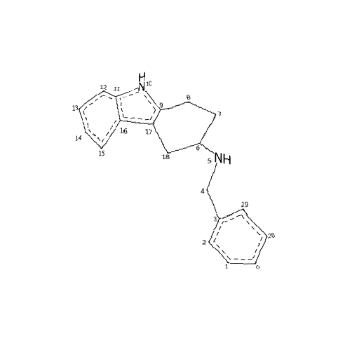 c1ccc(CNC2CCc3[nH]c4ccccc4c3C2)cc1